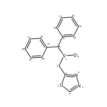 [O-][S+](Cc1nnco1)C(c1ccccc1)c1ccccc1